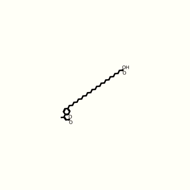 Cc1cc(=O)oc2cc(CCCCCCCCCCCCCCCCCCCCCCCC(=O)O)ccc12